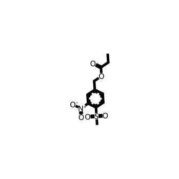 CCC(=O)OCc1ccc(S(C)(=O)=O)c([N+](=O)[O-])c1